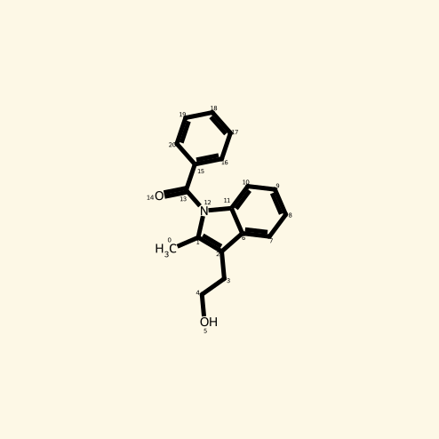 Cc1c(CCO)c2ccccc2n1C(=O)c1ccccc1